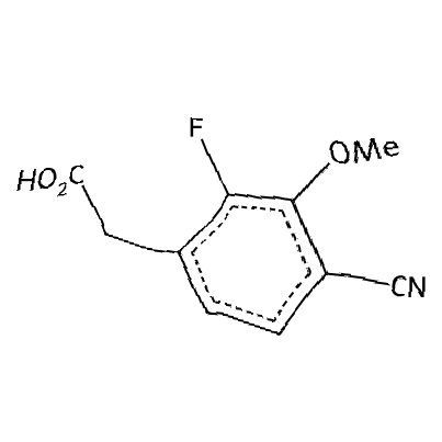 COc1c(C#N)ccc(CC(=O)O)c1F